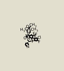 C=CC(=O)N1[C@H](C)CN(c2nc(=O)n3c4c(c(-c5cc(Cl)c(F)cc5F)c(C(F)(F)F)cc24)SC[C@H](c2cccnc2)C3)C[C@@H]1C